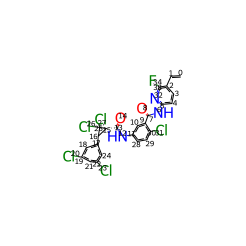 C=Cc1ccc(NC(=O)c2cc(NC(=O)[C@@H]3[C@@H](c4cc(Cl)cc(Cl)c4)C3(Cl)Cl)ccc2Cl)nc1F